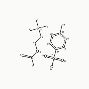 CC(=O)OCC[P+](C)(C)C.Cc1ccc(S(=O)(=O)[O-])cc1